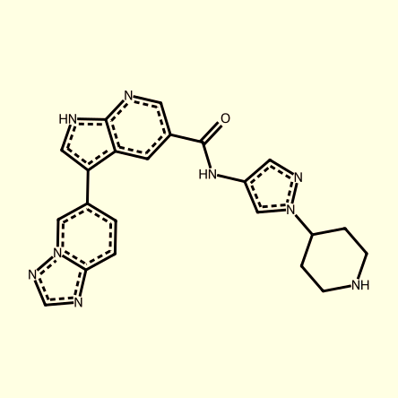 O=C(Nc1cnn(C2CCNCC2)c1)c1cnc2[nH]cc(-c3ccc4ncnn4c3)c2c1